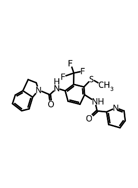 CSc1c(NC(=O)c2ccccn2)ccc(NC(=O)N2CCc3ccccc32)c1C(F)(F)F